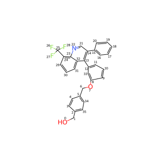 OCc1ccc(COc2cccc(-c3c(-c4ccccc4)cnc4c(C(F)(F)F)cccc34)c2)cc1